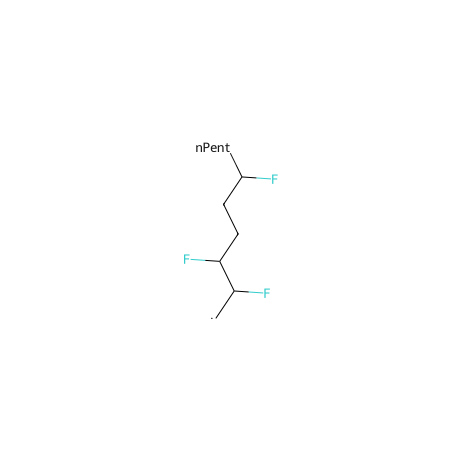 [CH2]C(F)C(F)CCC(F)CCCCC